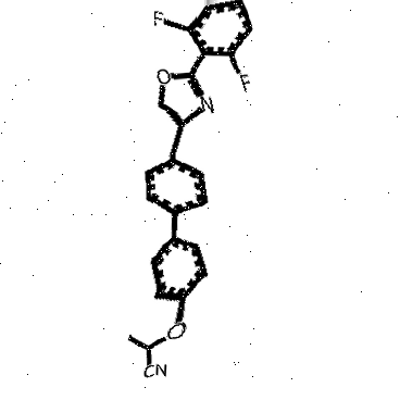 CC(C#N)Oc1ccc(-c2ccc(C3COC(c4c(F)cccc4F)=N3)cc2)cc1